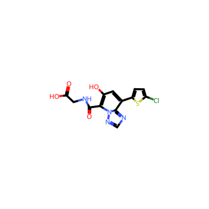 O=C(O)CNC(=O)c1c(O)cc(-c2ccc(Cl)s2)c2ncnn12